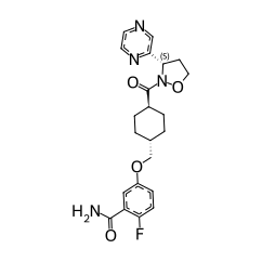 NC(=O)c1cc(OC[C@H]2CC[C@H](C(=O)N3OCC[C@H]3c3cnccn3)CC2)ccc1F